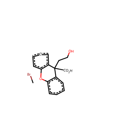 CBr.O=C(O)C1(CCO)c2ccccc2Oc2ccccc21